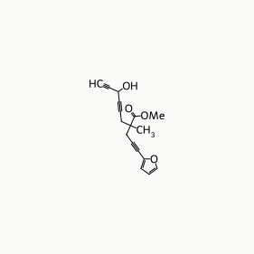 C#CC(O)C#CCC(C)(CC#Cc1ccco1)C(=O)OC